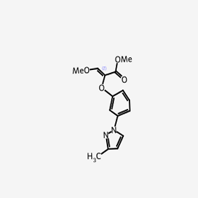 CO/C=C(\Oc1cccc(-n2ccc(C)n2)c1)C(=O)OC